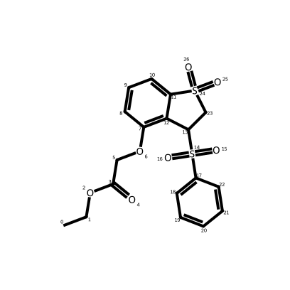 CCOC(=O)COc1cccc2c1C(S(=O)(=O)c1ccccc1)CS2(=O)=O